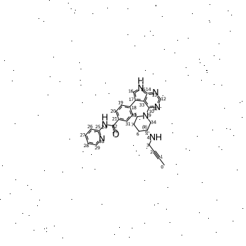 CC#CCN[C@@H]1CCCN(c2ncnc3[nH]cc(-c4ccc(C(=O)Nc5ccccn5)cc4)c23)C1